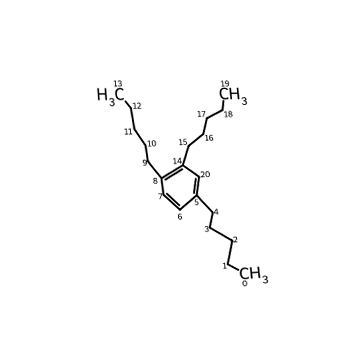 CCCCCc1ccc(CCCCC)c(CCCCC)c1